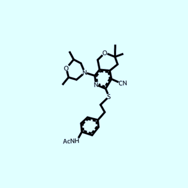 CC(=O)Nc1ccc(CCSc2nc(N3CC(C)OC(C)C3)c3c(c2C#N)CC(C)(C)OC3)cc1